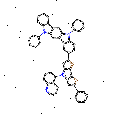 c1ccc(-c2cc3c(s2)c2sc(-c4ccc5c(c4)c4cc6c(cc4n5-c4ccccc4)c4ccccc4n6-c4ccccc4)cc2n3-c2cccc3ncccc23)cc1